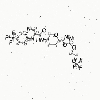 O=C(N[C@@H]1CC[C@@H](c2nnc(OCCOC(F)(F)F)o2)OC1)c1cnc2cc(C(F)(F)F)ccc2n1